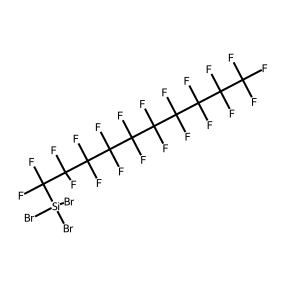 FC(F)(F)C(F)(F)C(F)(F)C(F)(F)C(F)(F)C(F)(F)C(F)(F)C(F)(F)C(F)(F)C(F)(F)[Si](Br)(Br)Br